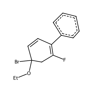 CCOC1(Br)C=CC(c2ccccc2)=C(F)C1